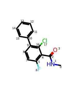 CNC(=O)c1c(F)ccc(-c2ccccc2)c1Cl